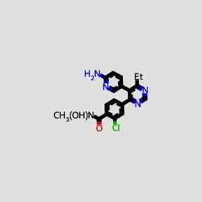 CCc1ncnc(-c2ccc(C(=O)N(C)O)c(Cl)c2)c1-c1ccc(N)nc1